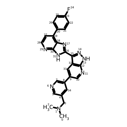 CN(C)Cc1cncc(-c2cnc3[nH]nc(-c4nc5c(-c6ccc(F)cc6)ccnc5[nH]4)c3c2)c1